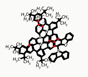 C=C/C=C\C(=C/C)c1cc(C(C)(C)C)cc(-c2ccccc2)c1N1c2cc(-c3cc(C(C)(C)C)cc(C(C)(C)C)c3)ccc2B2c3ccc(-c4cc(C(C)(C)C)cc(C(C)(C)C)c4)cc3N(c3c(-c4ccccc4)cc(C(C)(C)C)cc3-c3ccccc3)c3cc(-c4cc(-n5c6ccccc6c6ccccc65)c5oc6ccccc6c5c4)cc1c32